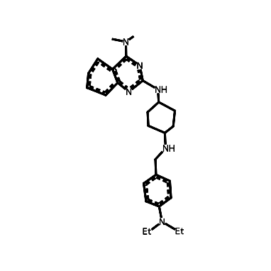 CCN(CC)c1ccc(CNC2CCC(Nc3nc(N(C)C)c4ccccc4n3)CC2)cc1